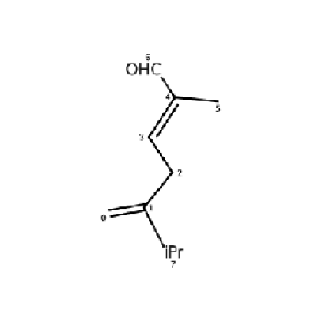 C=C(C/C=C(\C)C=O)C(C)C